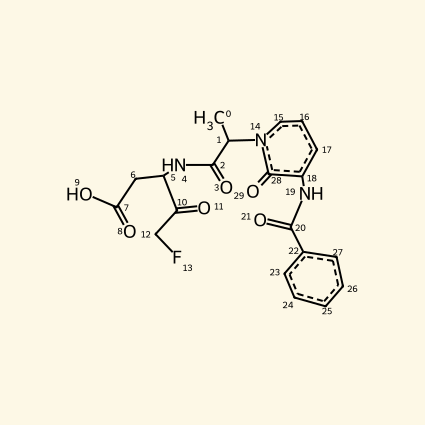 CC(C(=O)NC(CC(=O)O)C(=O)CF)n1cccc(NC(=O)c2ccccc2)c1=O